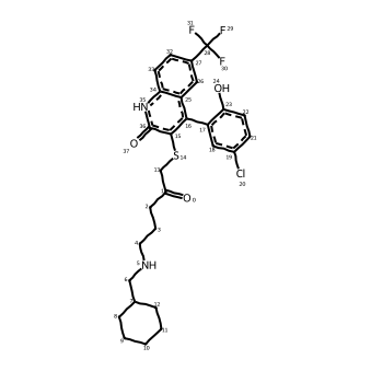 O=C(CCCNCC1CCCCC1)CSc1c(-c2cc(Cl)ccc2O)c2cc(C(F)(F)F)ccc2[nH]c1=O